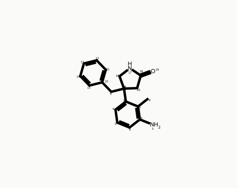 Cc1c(N)cccc1C1(Cc2ccccc2)CNC(=O)C1